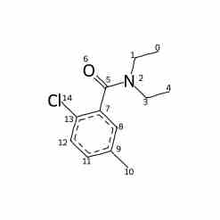 CCN(CC)C(=O)c1cc(C)ccc1Cl